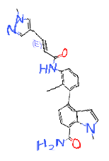 Cc1c(NC(=O)/C=C/c2cnn(C)c2)cccc1-c1ccc(C(N)=O)c2c1ccn2C